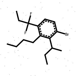 CCCCc1c(C(F)(F)CC)ccc(Br)c1C(C)CC